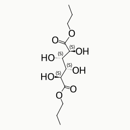 CCCOC(=O)[C@@H](O)[C@@H](O)[C@H](O)[C@H](O)C(=O)OCCC